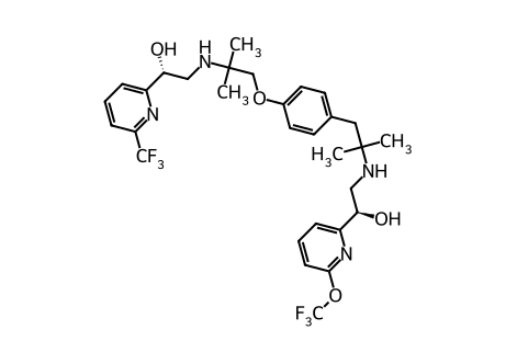 CC(C)(COc1ccc(CC(C)(C)NC[C@@H](O)c2cccc(OC(F)(F)F)n2)cc1)NC[C@@H](O)c1cccc(C(F)(F)F)n1